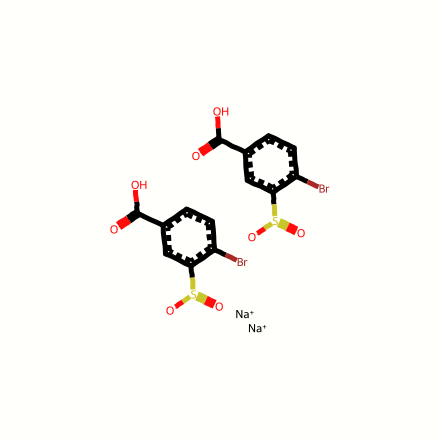 O=C(O)c1ccc(Br)c(S(=O)[O-])c1.O=C(O)c1ccc(Br)c(S(=O)[O-])c1.[Na+].[Na+]